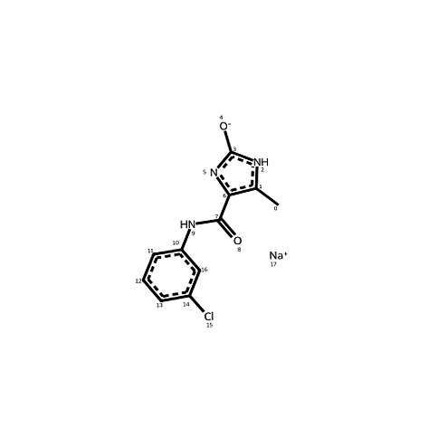 Cc1[nH]c([O-])nc1C(=O)Nc1cccc(Cl)c1.[Na+]